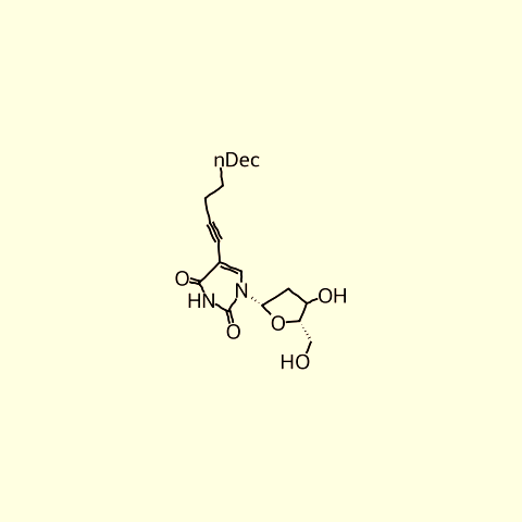 CCCCCCCCCCCCC#Cc1cn([C@@H]2CC(O)[C@H](CO)O2)c(=O)[nH]c1=O